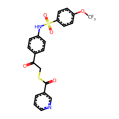 O=C(CSC(=O)c1cccnc1)c1ccc(NS(=O)(=O)c2ccc(OC(F)(F)F)cc2)cc1